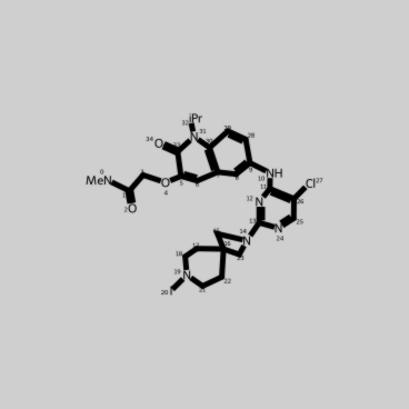 CNC(=O)COc1cc2cc(Nc3nc(N4CC5(CCN(I)CC5)C4)ncc3Cl)ccc2n(C(C)C)c1=O